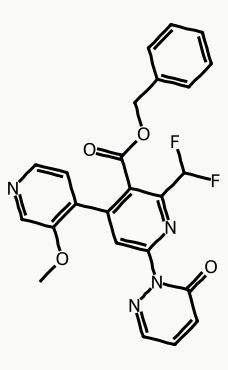 COc1cnccc1-c1cc(-n2ncccc2=O)nc(C(F)F)c1C(=O)OCc1ccccc1